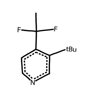 CC(C)(C)c1cnccc1C(C)(F)F